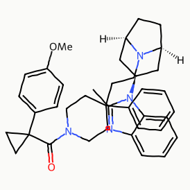 COc1ccc(C2(C(=O)N3CCC(CCN4[C@@H]5CC[C@H]4C[C@@H](n4c(C)nc6ccccc64)C5)(c4ccccc4)CC3)CC2)cc1